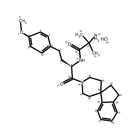 COc1ccc(CC[C@@H](NC(=O)C(C)(C)N)C(=O)N2CCC3(CCc4ccccc43)CC2)cc1.Cl